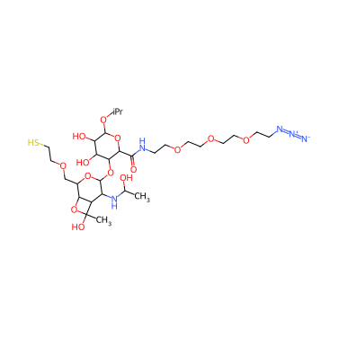 CC(O)NC1C(OC2C(C(=O)NCCOCCOCCOCCN=[N+]=[N-])OC(OC(C)C)C(O)C2O)OC(COCCS)C2OC(C)(O)C12